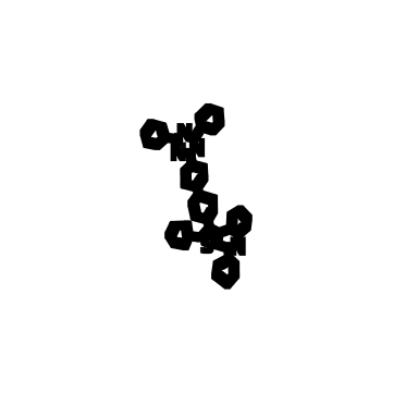 c1ccc(-c2nc(-c3ccccc3)nc(-c3ccc(-c4ccc(-c5c(-c6ccccc6)sc6c(-c7ccccc7)nc7ccccc7c56)cc4)cc3)n2)cc1